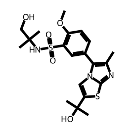 COc1ccc(-c2c(C)nc3sc(C(C)(C)O)cn23)cc1S(=O)(=O)NC(C)(C)CO